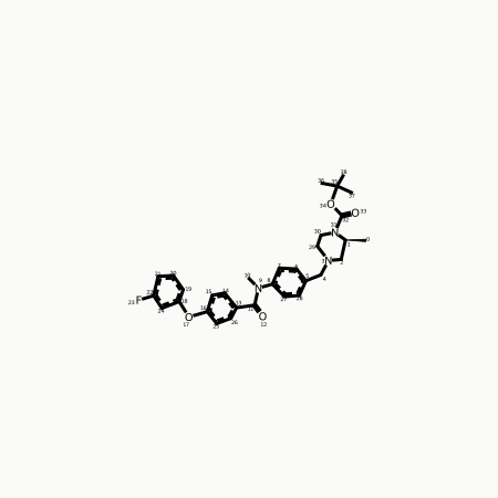 C[C@H]1CN(Cc2ccc(N(C)C(=O)c3ccc(Oc4cccc(F)c4)cc3)cc2)CCN1C(=O)OC(C)(C)C